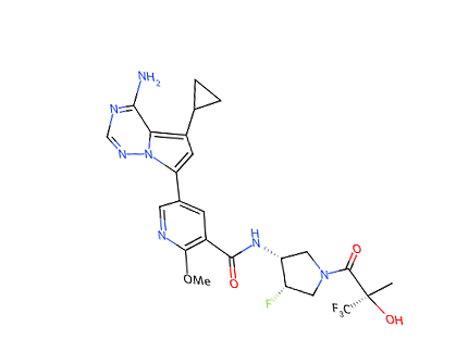 COc1ncc(-c2cc(C3CC3)c3c(N)ncnn23)cc1C(=O)N[C@@H]1CN(C(=O)[C@@](C)(O)C(F)(F)F)C[C@@H]1F